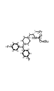 CC(C)C[C@@H](CN1CCN(C(c2ccc(F)cc2)c2ccc(F)cc2)CC1)NC(=O)OC(C)(C)C